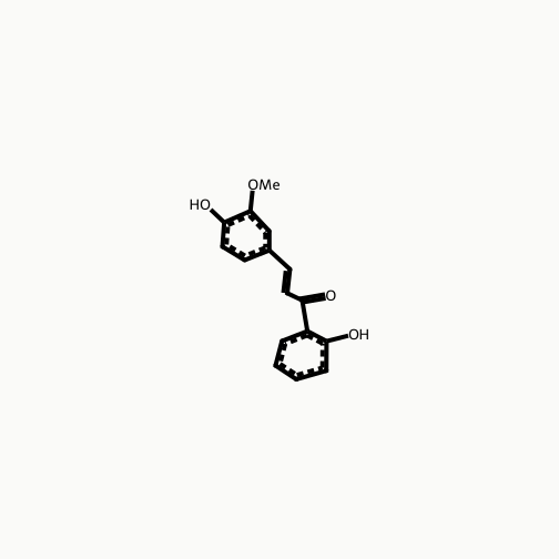 COc1cc(C=CC(=O)c2ccccc2O)ccc1O